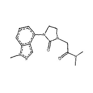 CN(C)C(=O)CN1CCN(c2cccc3c2cnn3C)C1=O